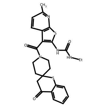 CCNC(=O)Nc1sc2nc(C)ccc2c1C(=O)N1CCC2(CC1)CC(=O)c1ccccc1S2